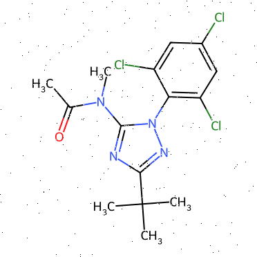 CC(=O)N(C)c1nc(C(C)(C)C)nn1-c1c(Cl)cc(Cl)cc1Cl